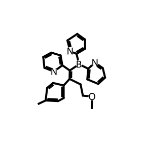 COCC/C(=C(\B(c1ccccn1)c1ccccn1)c1ccccn1)c1ccc(C)cc1